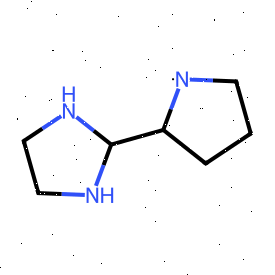 C1C[N]C(C2NCCN2)C1